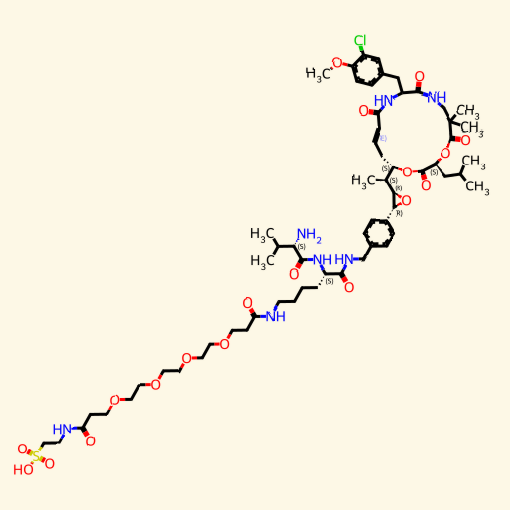 COc1ccc(CC2NC(=O)/C=C/C[C@@H]([C@H](C)[C@H]3O[C@@H]3c3ccc(CNC(=O)[C@H](CCCCNC(=O)CCOCCOCCOCCOCCC(=O)NCCS(=O)(=O)O)NC(=O)[C@@H](N)C(C)C)cc3)OC(=O)[C@H](CC(C)C)OC(=O)C(C)(C)CNC2=O)cc1Cl